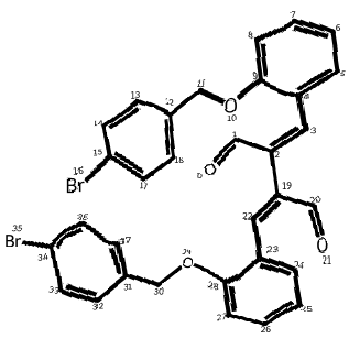 O=CC(=Cc1ccccc1OCc1ccc(Br)cc1)C(C=O)=Cc1ccccc1OCc1ccc(Br)cc1